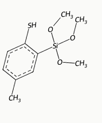 CO[Si](OC)(OC)c1cc(C)ccc1S